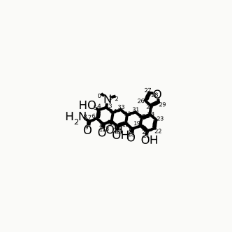 CN(C)C1C(O)=C(C(N)=O)C(=O)C2(O)C(O)=C3C(=O)c4c(O)ccc(-c5ccoc5)c4CC3CC12